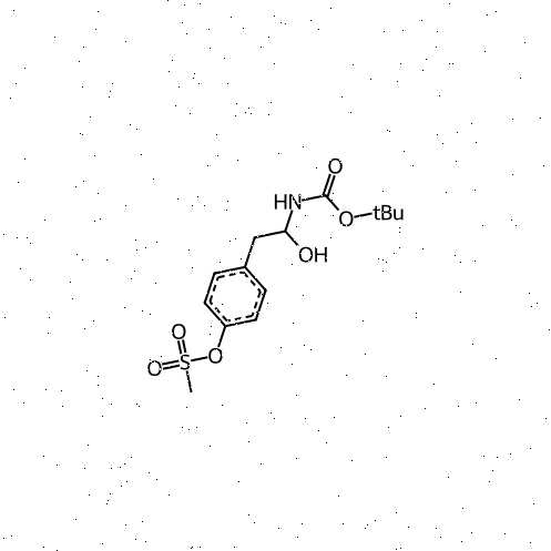 CC(C)(C)OC(=O)NC(O)Cc1ccc(OS(C)(=O)=O)cc1